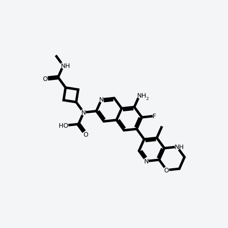 CNC(=O)C1CC(N(C(=O)O)c2cc3cc(-c4cnc5c(c4C)NCCO5)c(F)c(N)c3cn2)C1